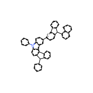 c1ccc(C2c3ccccc3-c3c2ccc2c3c3cc(-c4ccc5c(c4)-c4ccccc4C5c4cccc5ccccc45)ccc3n2-c2ccccc2)cc1